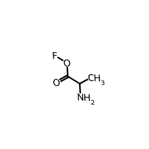 CC(N)C(=O)OF